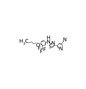 CCCCCOc1ccc(Nc2nc(-c3cncc(C#N)c3)cs2)cc1C(F)(F)F